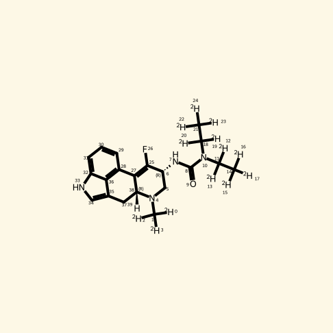 [2H]C([2H])([2H])N1C[C@@H](NC(=O)N(C([2H])([2H])C([2H])([2H])[2H])C([2H])([2H])C([2H])([2H])[2H])C(F)=C2c3cccc4[nH]cc(c34)C[C@H]21